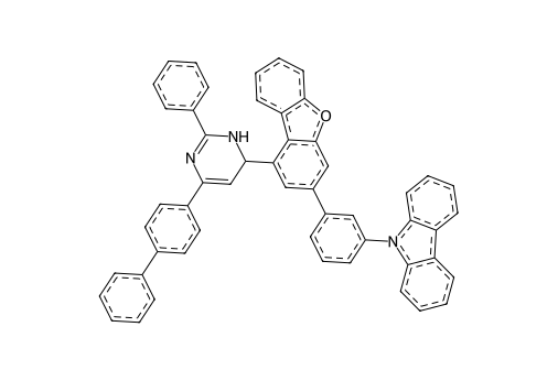 C1=C(c2ccc(-c3ccccc3)cc2)N=C(c2ccccc2)NC1c1cc(-c2cccc(-n3c4ccccc4c4ccccc43)c2)cc2oc3ccccc3c12